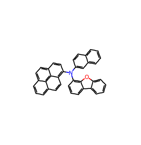 c1ccc2cc(N(c3ccc4ccc5cccc6ccc3c4c56)c3cccc4c3oc3ccccc34)ccc2c1